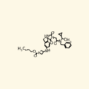 CCCCOC(=O)N1CC(Nc2ccc3c(c2)CCC32NC(=O)N(CC(=O)N(Cc3ccccc3)C(C)C3CC3)C2=O)C1